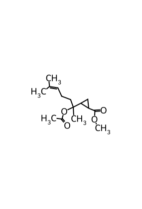 COC(=O)C1CC1C(C)(CCC=C(C)C)OC(C)=O